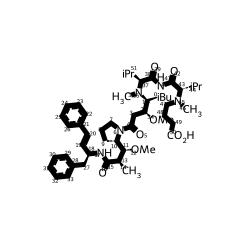 CC[C@H](C)[C@@H]([C@@H](CC(=O)N1CCC[C@H]1[C@H](OC)[C@@H](C)C(=O)N[C@H](/C=C/c1ccccc1)Cc1ccccc1)OC)N(C)[C@H](C(=O)NC(=O)[C@H](C(C)C)N(C)CCCC(=O)O)C(C)C